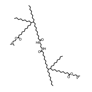 CCCCCCCCC(CCCCCCCCC(=O)NCCNC(=O)CCCCCCCCC(CCCCCCCC)C(CCCCCCCC)CCCCCCCCC(=O)OCCN(C)C)C(CCCCCCCC)CCCCCCCCC(=O)OCCN(C)C